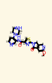 COc1cc2c(cn1)CN(c1nc(C(=O)Nc3cnccc3N3CCNCC3)cs1)C2=O